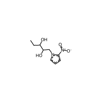 CCC(O)C(O)Cn1cccc1[N+](=O)[O-]